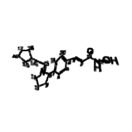 O=C(/C=C/c1ccc(C2CCCN2CC2CCCC2)cc1)NO